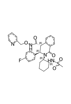 CS(=O)(=O)N[C@@H]1CCCC[C@H]1N1C(=O)c2ccccc2[C@@H](C(=O)NOCc2ccccn2)[C@@H]1c1ccc(F)cc1